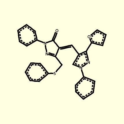 O=C1/C(=C/c2cn(-c3ccccc3)nc2-c2ccco2)C(CSc2ccccc2)=NN1c1ccccc1